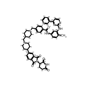 Cc1ccc(NC(=O)c2ccc(CN3CCC(CN4CCC(c5ccc6c(c5)C(=O)N(C5CCC(=O)NC5=O)C6=O)CC4)CC3)cc2)cc1Nc1nccc(-c2cccnc2)n1